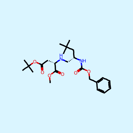 COC(=O)[C@H](CC(=O)OC(C)(C)C)NC[C@H](CC(C)(C)C)NC(=O)OCc1ccccc1